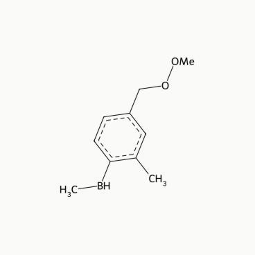 CBc1ccc(COOC)cc1C